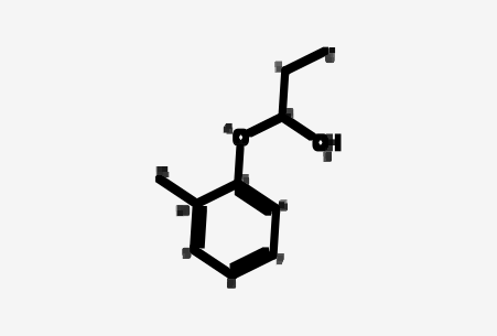 [CH2]CC(O)Oc1ccccc1C